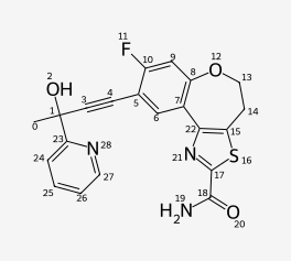 CC(O)(C#Cc1cc2c(cc1F)OCCc1sc(C(N)=O)nc1-2)c1ccccn1